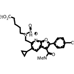 CCOC(=O)CCCCN(Cc1nc2oc(-c3ccc(Cl)cc3)c(C(=O)NC)c2cc1C1CC1)[SH](=O)=O